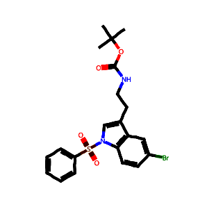 CC(C)(C)OC(=O)NCCc1cn(S(=O)(=O)c2ccccc2)c2ccc(Br)cc12